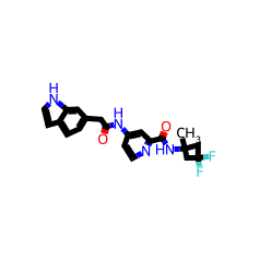 CC1(NC(=O)c2cc(NC(=O)Cc3ccc4cc[nH]c4c3)ccn2)CC(F)(F)C1